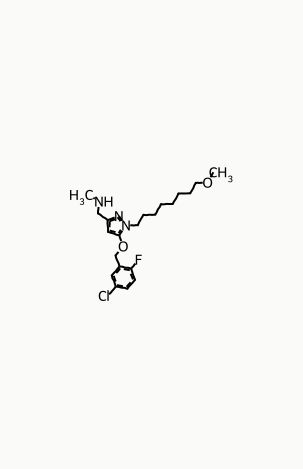 CNCc1cc(OCc2cc(Cl)ccc2F)n(CCCCCCCCOC)n1